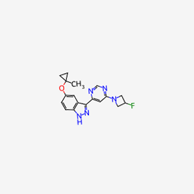 CC1(Oc2ccc3[nH]nc(-c4cc(N5CC(F)C5)ncn4)c3c2)CC1